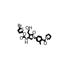 Cc1cc(N2CC(NC(=O)Oc3ccc(Br)s3)C(CCO)C2=O)ccc1C(=O)N1CCCC1